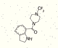 O=C(c1cccc2c1NCC2)N1CCN(C(F)(F)F)CC1